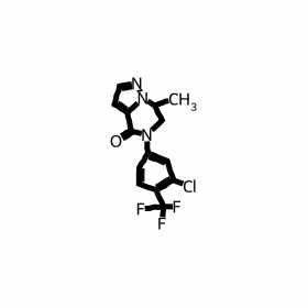 CC1CN(c2ccc(C(F)(F)F)c(Cl)c2)C(=O)c2ccnn21